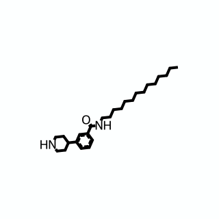 CCCCCCCCCCCCCCNC(=O)c1cccc(C2CCNCC2)c1